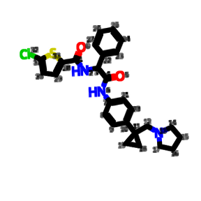 O=C(NC(C(=O)Nc1ccc(C2(CN3CCCC3)CC2)cc1)c1ccccc1)c1ccc(Cl)s1